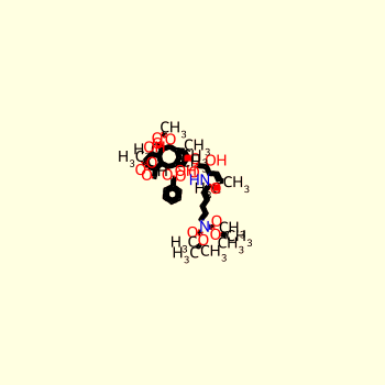 CC(=O)O[C@H]1C(=O)[C@]2(C)[C@@H](O)CC3OC[C@@]3(OC(C)=O)[C@H]2[C@H](OC(=O)c2ccccc2)[C@]2(O)C[C@H](OC(=O)[C@H](O)[C@H](C=C(C)C)NC(=O)/C=C/CCCN(C(=O)OC(C)(C)C)C(=O)OC(C)(C)C)C(C)=C1C2(C)C